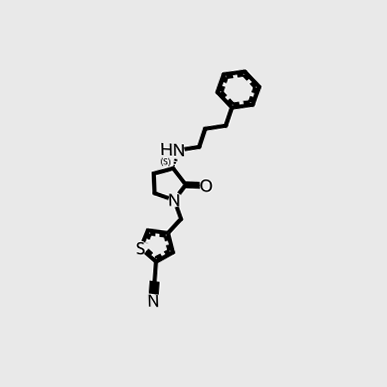 N#Cc1cc(CN2CC[C@H](NCCCc3ccccc3)C2=O)cs1